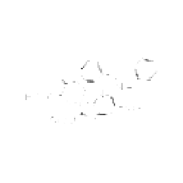 COC(=O)C1(c2ccc([N+](=O)[O-])c(N(Cc3ccccc3)Cc3ccccc3)n2)CCC(=O)C(C(=O)O)C1